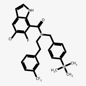 C[Si](C)(C)c1ccc(CN(CCc2cccc(C(F)(F)F)c2)C(=O)c2c(F)c(Cl)cc3cc[nH]c23)cc1